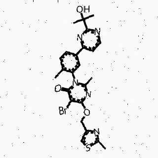 Cc1nc(COc2nc(C)n(-c3cc(-c4ccnc(C(C)(C)O)n4)ccc3C)c(=O)c2Br)cs1